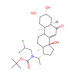 CC([C@H]1CC[C@@]2(O)C3=CC(=O)[C@@H]4C[C@@H](O)[C@@H](O)C[C@]4(C)C3CC[C@]12C)N(CC(F)F)C(=O)OC(C)(C)C